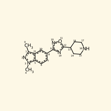 Cc1nn(C)c2ccc(-c3noc(C4CCNCC4)n3)cc12